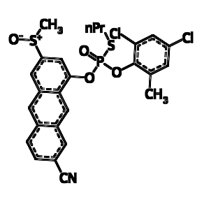 CCCSP(=O)(Oc1c(C)cc(Cl)cc1Cl)Oc1cc([S+](C)[O-])cc2cc3ccc(C#N)cc3cc12